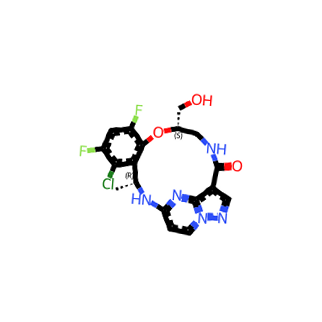 C[C@H]1Nc2ccn3ncc(c3n2)C(=O)NC[C@@H](CO)Oc2c(F)cc(F)c(Cl)c21